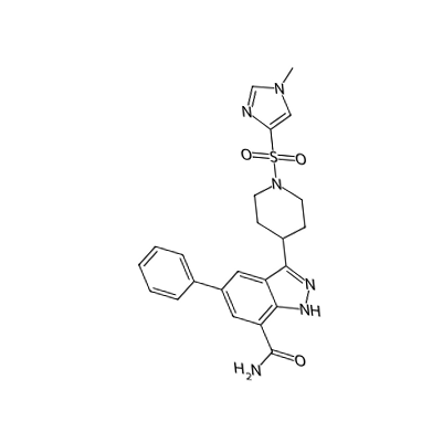 Cn1cnc(S(=O)(=O)N2CCC(c3n[nH]c4c(C(N)=O)cc(-c5ccccc5)cc34)CC2)c1